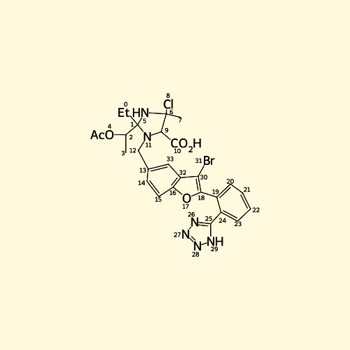 CCC1(C(C)OC(C)=O)NC(C)(Cl)C(C(=O)O)N1Cc1ccc2oc(-c3ccccc3-c3nnn[nH]3)c(Br)c2c1